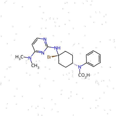 CN(C)c1ccnc(N[C@]2(Br)CC[C@H](N(C(=O)O)c3ccccc3)CC2)n1